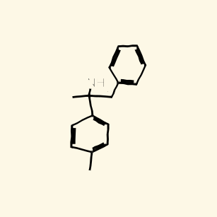 Cc1ccc(C(C)(N)Cc2ccccc2)cc1